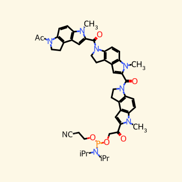 CC(=O)N1CCc2c1ccc1c2cc(C(=O)N2CCc3c2ccc2c3cc(C(=O)N3CCc4c3ccc3c4cc(C(=O)COP(OCCC#N)N(C(C)C)C(C)C)n3C)n2C)n1C